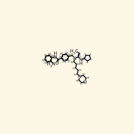 C/C=C(/NC1CCCC1)N(CCCCCN1CCOCC1)Cc1ccc(C(=O)Nc2ccccc2N)nc1